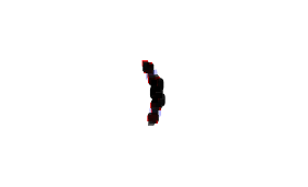 Cc1ccc(/C=C/c2ccc(OCCOCCOc3ccc(/C=C/c4ccc(C)cc4)cc3)cc2)cc1